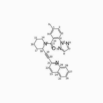 Cc1ccc(-n2nccn2)c(C(=O)N2CCCCC2C#Cc2ccc3ccccc3n2)c1